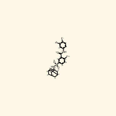 O=C(Nc1ccc(F)c(F)c1)c1cc(S(=O)(=O)NC23CC4CC(CC(C4)C2)C3)ccc1F